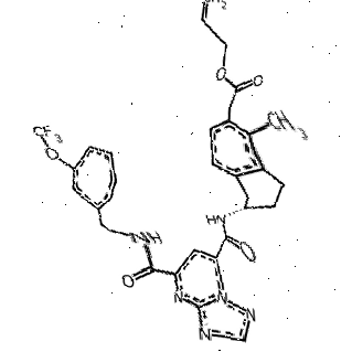 C=CCOC(=O)c1ccc2c(c1C)CC[C@@H]2NC(=O)c1cc(C(=O)NCc2cccc(OC(F)(F)F)c2)nc2ncnn12